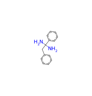 NC(N)(Cc1ccccc1)c1ccccc1